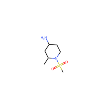 CC1CC(N)CCN1S(C)(=O)=O